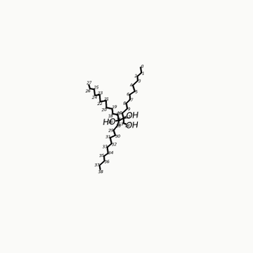 CCCCCCCCCCCC(O)(CO)C(O)(CCCCCCCCCCC)CCCCCCCCCCC